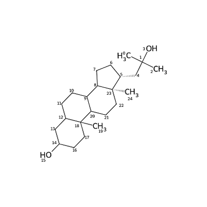 CC(C)(O)C[C@H]1CCC2C3CCC4CC(O)CCC4(C)C3CC[C@@]21C